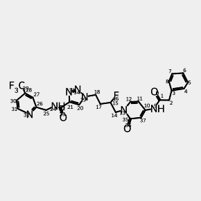 O=C(Cc1ccccc1)Nc1ccn(CC(F)CCn2cc(C(=O)NCc3cc(C(F)(F)F)ccn3)nn2)c(=O)c1